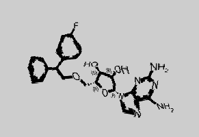 Nc1nc(N)c2ncn([C@@H]3O[C@H](COCC(c4ccccc4)c4ccc(F)cc4)[C@@H](O)[C@H]3O)c2n1